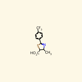 CC1N=C(c2ccc(C(F)(F)F)cc2)SC1C(=O)O